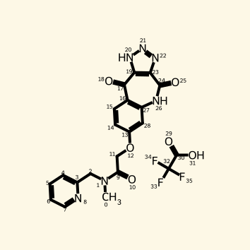 CN(Cc1ccccn1)C(=O)COc1ccc2c(=O)c3[nH]nnc3c(=O)[nH]c2c1.O=C(O)C(F)(F)F